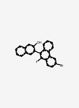 Oc1cc2ccccc2cc1-c1c(F)c2ccc(Br)cc2c2ccccc12